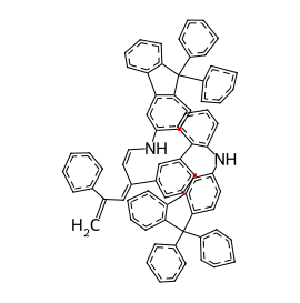 C=C(/C=C(\C=C/Nc1ccc2c(c1)-c1ccccc1C2(c1ccccc1)c1ccccc1)c1cccc(-c2ccccc2Nc2ccc3c(c2)-c2ccccc2C3(c2ccccc2)c2ccccc2)c1)c1ccccc1